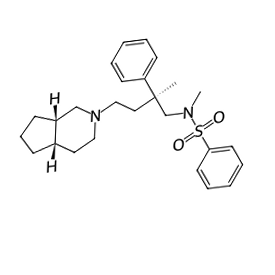 CN(C[C@@](C)(CCN1CC[C@@H]2CCC[C@@H]2C1)c1ccccc1)S(=O)(=O)c1ccccc1